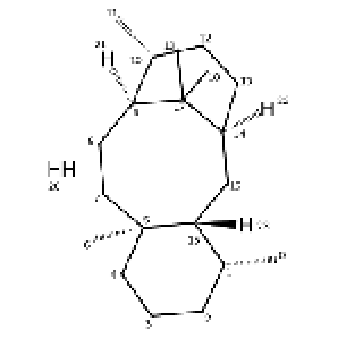 C[C@@H]1CCC[C@@]2(C)CC[C@H]3[C@H](C)CC[C@@H](C[C@H]12)C3(C)C.[HH]